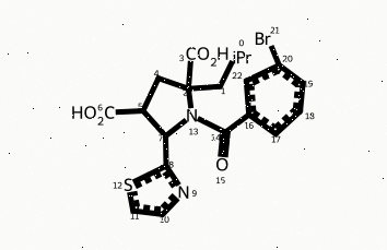 CC(C)CC1(C(=O)O)CC(C(=O)O)C(c2nccs2)N1C(=O)c1cccc(Br)c1